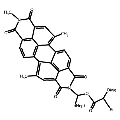 CCCCCCCC(OC(=O)C(CC)OC)N1C(=O)c2ccc3c4c(C)cc5c6c(ccc(c7c(C)cc(c2c37)C1=O)c64)C(=O)N(C)C5=O